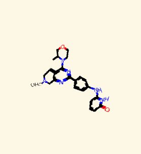 CC1COCCN1c1nc(-c2ccc(Nc3cccc(=O)[nH]3)cc2)nc2c1CCN(C=O)C2